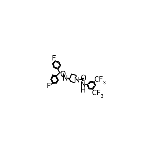 O=C(Nc1cc(C(F)(F)F)cc(C(F)(F)F)c1)N1CCC(=NOC(c2ccc(F)cc2)c2ccc(F)cc2)CC1